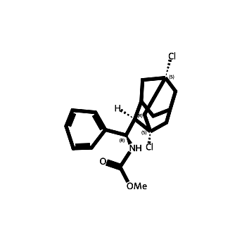 COC(=O)N[C@@H](c1ccccc1)[C@H]1C2CC3C[C@](Cl)(C2)C[C@@]1(Cl)C3